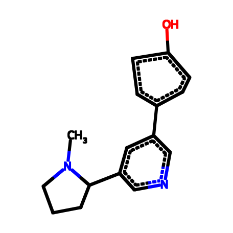 CN1CCCC1c1cncc(-c2ccc(O)cc2)c1